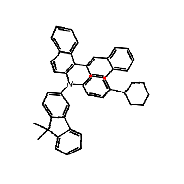 CC1(C)c2ccccc2-c2cc(N(c3ccc(C4CCCCC4)cc3)c3ccc4ccccc4c3-c3ccc4ccccc4c3)ccc21